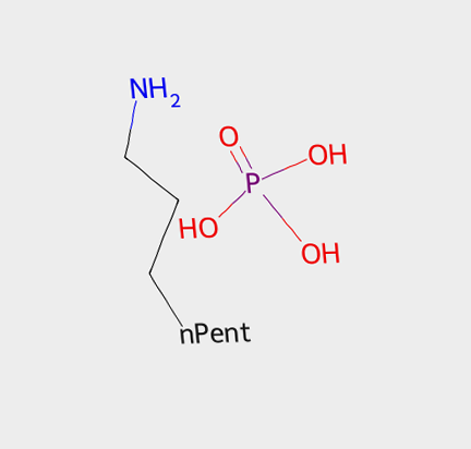 CCCCCCCCN.O=P(O)(O)O